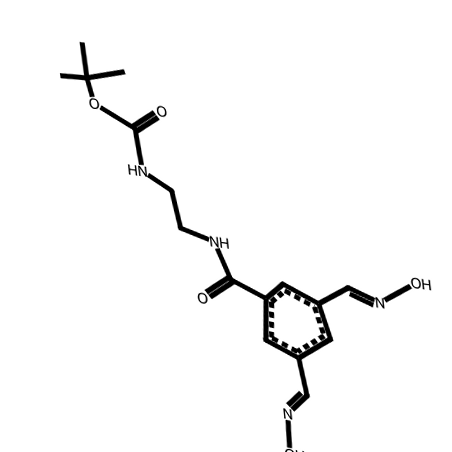 CC(C)(C)OC(=O)NCCNC(=O)c1cc(C=NO)cc(C=NO)c1